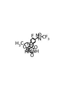 C[C@@H]1CN2c3cc(F)c(-c4noc(C(F)(F)F)n4)cc3CC3(C(=O)NC(=O)NC3=O)[C@H]2[C@H](C)O1